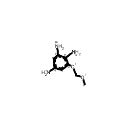 COCOc1cc(N)cc(N)c1N